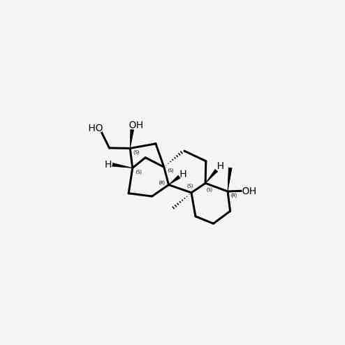 C[C@@]12CCC[C@@](C)(O)[C@H]1CC[C@@]13C[C@H](CC[C@H]12)[C@](O)(CO)C3